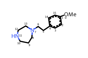 COc1ccc(CCN2CCCNCC2)cc1